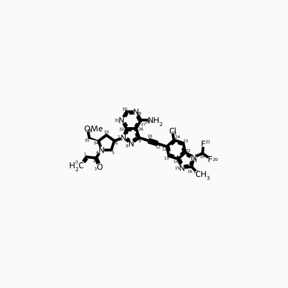 C=CC(=O)N1CC(n2nc(C#Cc3cc4nc(C)n(C(F)F)c4cc3Cl)c3c(N)ncnc32)C[C@@H]1COC